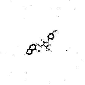 CCCc1ccc(N2N=C(C)/C(=N/Nc3ccc4ccccc4c3O)C2=O)cc1